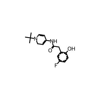 CC(C)(C)N1C=CC(NC(=O)Cc2cc(F)ccc2O)=CC1